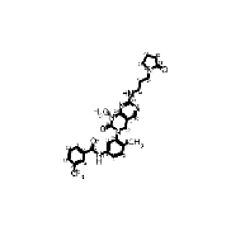 Cc1ccc(NC(=O)c2cccc(C(F)(F)F)c2)cc1N1Cc2cnc(NCCCN3CCCC3=O)nc2N(C)C1=O